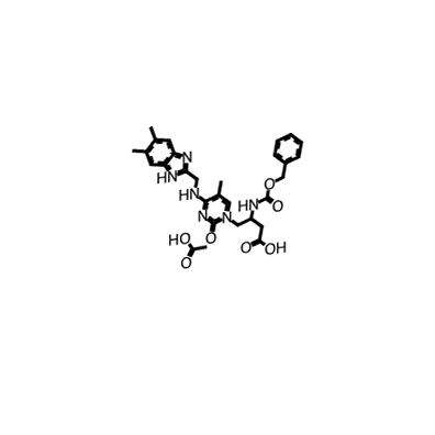 CC(=O)O.Cc1cc2nc(CNc3nc(=O)n(CC(CC(=O)O)NC(=O)OCc4ccccc4)cc3C)[nH]c2cc1C